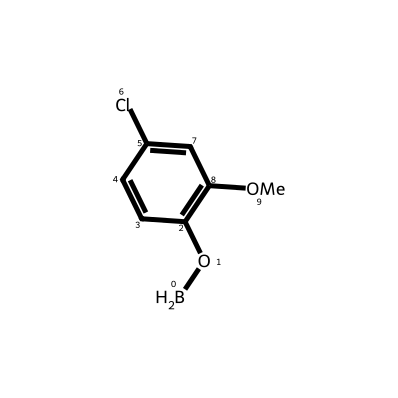 BOc1ccc(Cl)cc1OC